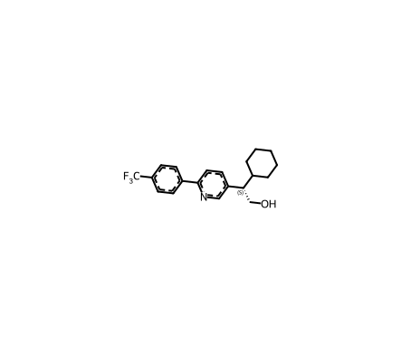 OC[C@H](c1ccc(-c2ccc(C(F)(F)F)cc2)nc1)C1CCCCC1